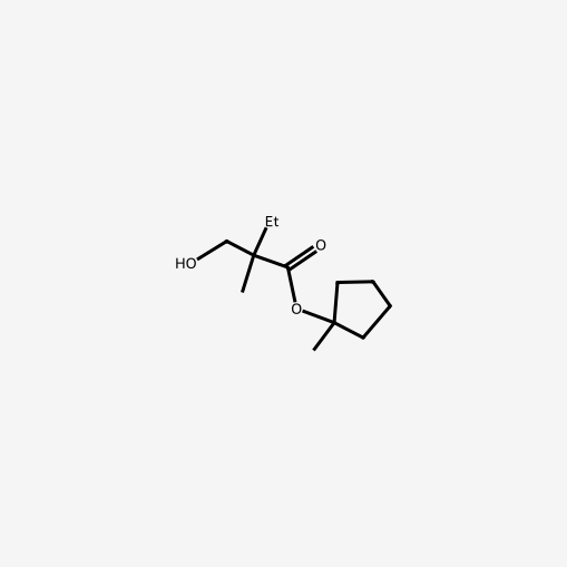 CCC(C)(CO)C(=O)OC1(C)CCCC1